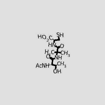 CC(=O)N[C@H](C(=O)NC(C)(C)C(=O)N[C@@H](CS)C(=O)O)[C@@H](C)O